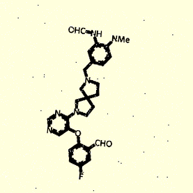 CNc1ccc(CN2CCC3(CCN(c4ncncc4Oc4ccc(F)cc4C=O)C3)C2)cc1NC=O